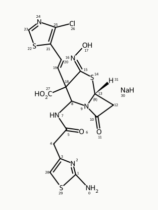 Nc1nc(CC(=O)NC2N3C(=O)C[C@H]3SC(=NO)C2(C=Cc2scnc2Cl)C(=O)O)cs1.[NaH]